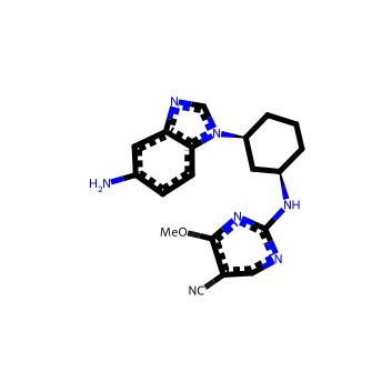 COc1nc(N[C@@H]2CCC[C@H](n3cnc4cc(N)ccc43)C2)ncc1C#N